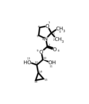 CC1(C)OCCN1C(=O)O[C@@H](O)C(O)C1CC1